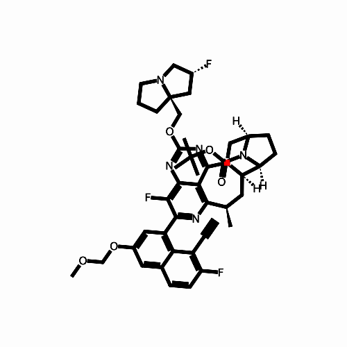 C#Cc1c(F)ccc2cc(OCOC)cc(-c3nc4c5c(nc(OC[C@@]67CCCN6C[C@H](F)C7)nc5c3F)N3C[C@H]5CC[C@@H]([C@H]3C[C@H]4C)N5C(=O)OC(C)(C)C)c12